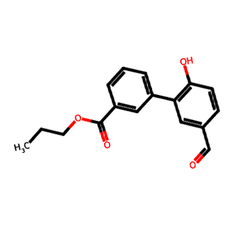 CCCOC(=O)c1cccc(-c2cc(C=O)ccc2O)c1